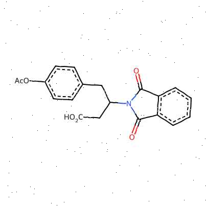 CC(=O)Oc1ccc(CC(CC(=O)O)N2C(=O)c3ccccc3C2=O)cc1